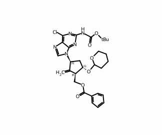 C=C1[C@H](COC(=O)c2ccccc2)[C@@H](OC2CCCCO2)C[C@@H]1n1cnc2c(Cl)nc(NC(=O)OC(C)(C)C)nc21